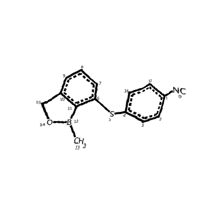 [C-]#[N+]c1ccc(Sc2cccc3c2B(C)OC3)cc1